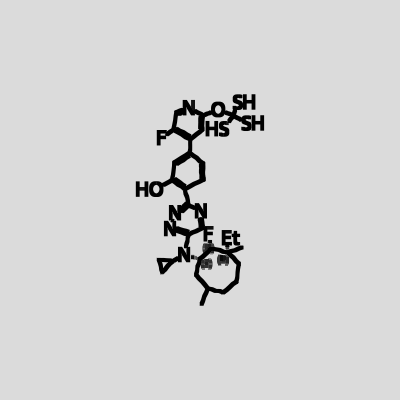 CC[C@]1(C)CCCC(C)C[C@H](N(c2cnc(-c3ccc(-c4cc(OC(S)(S)S)ncc4F)cc3O)nn2)C2CC2)[C@@H]1F